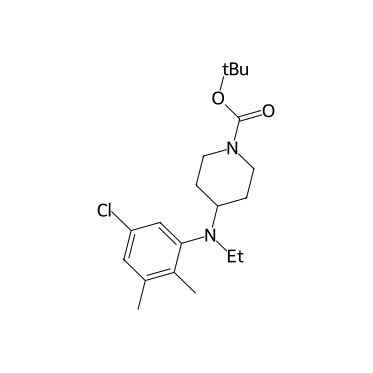 CCN(c1cc(Cl)cc(C)c1C)C1CCN(C(=O)OC(C)(C)C)CC1